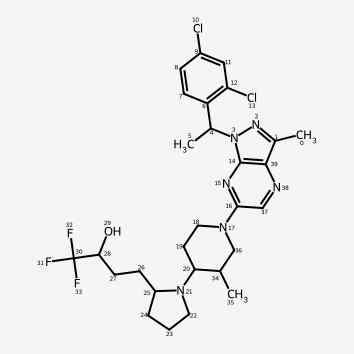 Cc1nn(C(C)c2ccc(Cl)cc2Cl)c2nc(N3CCC(N4CCCC4CCC(O)C(F)(F)F)C(C)C3)cnc12